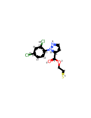 O=C(OCC=S)c1ccnn1-c1ccc(Cl)cc1Cl